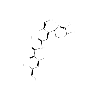 C=C(/C=C(\C(F)=C/N)[C@]1(C)CO[C@@](C)(C(F)(F)F)C(N)=N1)NC(=O)C(=C)/C(Cl)=C\C(C#N)=C/N